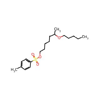 CCCCCOC(C)CCCCCOS(=O)(=O)c1ccc(C)cc1